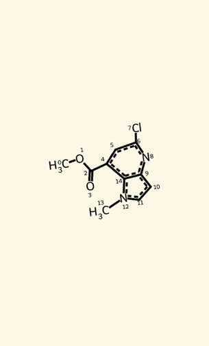 COC(=O)c1cc(Cl)nc2ccn(C)c12